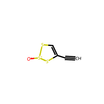 C#CC1=CS[S+]([O-])S1